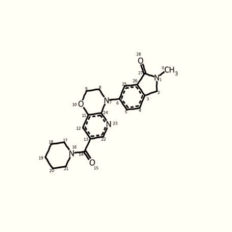 CN1Cc2ccc(N3CCOc4cc(C(=O)N5CCCCC5)cnc43)cc2C1=O